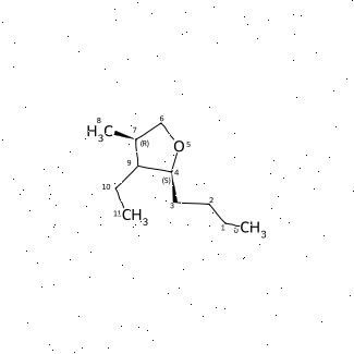 CCCC[C@@H]1OC[C@H](C)C1CC